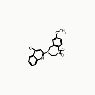 COc1ccc2c(c1)CN(c1cc(Cl)c3ccccc3n1)CCS2(=O)=O